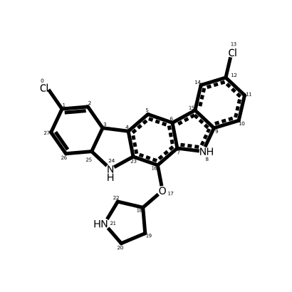 ClC1=CC2c3cc4c([nH]c5ccc(Cl)cc54)c(OC4CCNC4)c3NC2C=C1